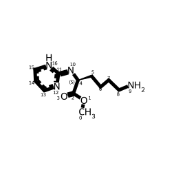 COC(=O)[C@H](CCCCN)N=c1nccc[nH]1